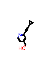 OCc1ccnc(C#CC2CC2)c1